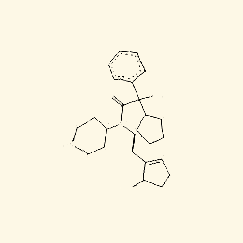 CC1CCC=C1CCN(C(=O)C(O)(c1ccccc1)C1CCCC1)C1CCNCC1